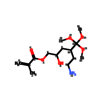 C=C(C)C(=O)OCC(O)CC(CCN)[Si](OCC)(OCC)OCC